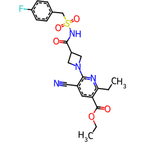 CCOC(=O)c1cc(C#N)c(N2CC(C(=O)NS(=O)(=O)Cc3ccc(F)cc3)C2)nc1CC